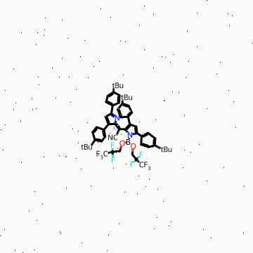 CC(C)(C)c1ccc(C2=CC(c3ccc(C(C)(C)C)cc3)=N/C2=C(/C#N)c2c(-c3ccc(C(C)(C)C)cc3)cc(-c3ccc(C(C)(C)C)cc3)n2B(OCC(F)(F)C(F)(F)F)OCC(F)(F)C(F)(F)F)cc1